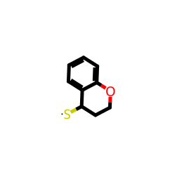 [S]C1CCOc2ccccc21